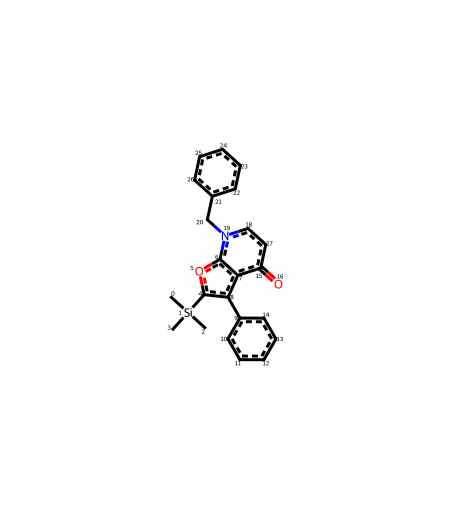 C[Si](C)(C)c1oc2c(c1-c1ccccc1)c(=O)ccn2Cc1ccccc1